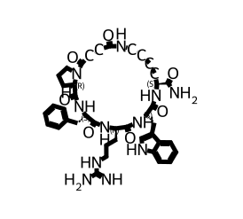 N=C(N)NCCC[C@H]1NC(=O)[C@H](Cc2ccccc2)NC(=O)[C@H]2CCCN2C(=O)CCC(=O)NCCCC[C@@H](C(N)=O)NC(=O)[C@H](Cc2c[nH]c3ccccc23)NC1=O